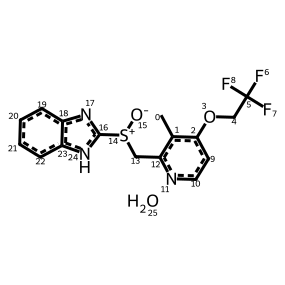 Cc1c(OCC(F)(F)F)ccnc1C[S+]([O-])c1nc2ccccc2[nH]1.O